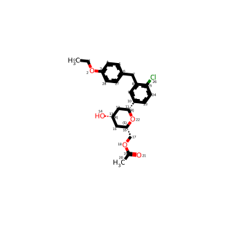 CCOc1ccc(Cc2cc([C@H]3C[C@@H](O)C[C@@H](COC(C)=O)O3)ccc2Cl)cc1